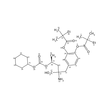 CCC(C)(C)C(=O)Oc1ccc(CC(N)(C[C@H](C)OC(=O)OC2CCCCC2)C(=O)O)cc1OC(=O)C(C)(C)CC